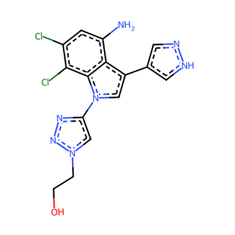 Nc1cc(Cl)c(Cl)c2c1c(-c1cn[nH]c1)cn2-c1cn(CCO)nn1